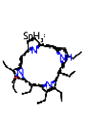 CCC1=C(CC)c2nc1c(CC)c1[nH]c(cc3nc(cc4c(CC)c(CC)c(c2CC)n4CC)C=C3)cc1CC.[SnH2]